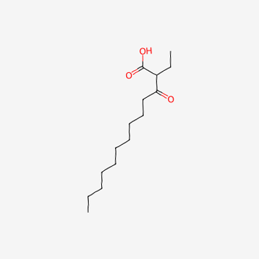 CCCCCCCCCCC(=O)C(CC)C(=O)O